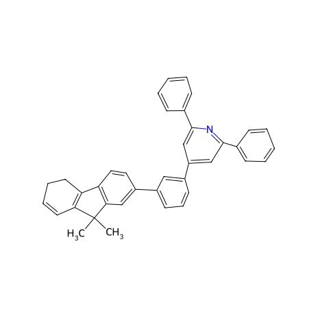 CC1(C)C2=C(CCC=C2)c2ccc(-c3cccc(-c4cc(-c5ccccc5)nc(-c5ccccc5)c4)c3)cc21